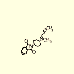 COCCN(C)[C@H]1CC[C@H](N2C(=O)c3ccccc3C2=O)CC1